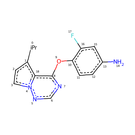 CC(C)c1ccn2ncnc(Oc3ccc(N)cc3F)c12